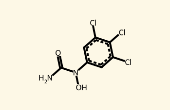 NC(=O)N(O)c1cc(Cl)c(Cl)c(Cl)c1